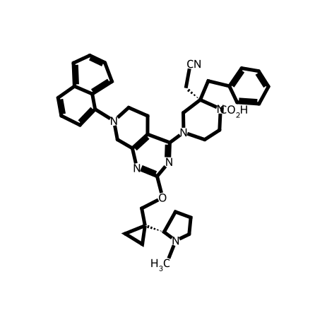 CN1CCC[C@H]1C1(COc2nc3c(c(N4CCN(C(=O)O)[C@](CC#N)(Cc5ccccc5)C4)n2)CCN(c2cccc4ccccc24)C3)CC1